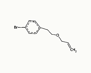 C=CCOCCc1ccc(Br)cc1